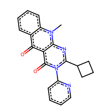 Cn1c2ccccc2c(=O)c2c(=O)n(-c3ccccn3)c(C3CCC3)nc21